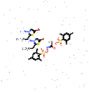 CCC/C([O-])=N/OS(=O)(=O)c1c(C)cc(C)cc1C.CCOC(=O)Cc1sc(Br)c[n+]1N.CCOC(=O)Cc1sc(Br)c[n+]1N.Cc1cc(C)c(S(=O)(=O)[O-])c(C)c1